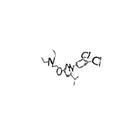 CCN(CC)CCOc1cc(C(C)C)n(-c2ccc(Cl)c(Cl)c2)n1